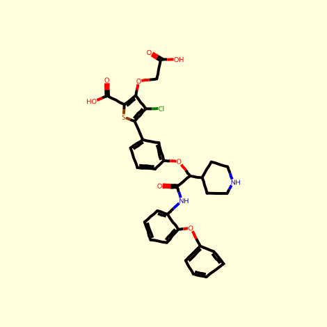 O=C(O)COc1c(C(=O)O)sc(-c2cccc(OC(C(=O)Nc3ccccc3Oc3ccccc3)C3CCNCC3)c2)c1Cl